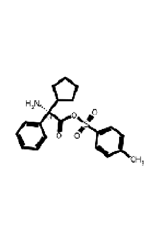 Cc1ccc(S(=O)(=O)OC(=O)[C@@](N)(c2ccccc2)C2CCCC2)cc1